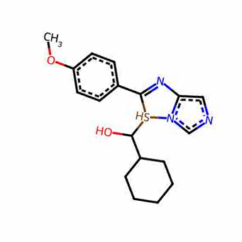 COc1ccc(C2=Nc3cncn3[SH]2C(O)C2CCCCC2)cc1